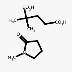 CC(C)(CCC(=O)O)C(=O)O.CN1CCCC1=O